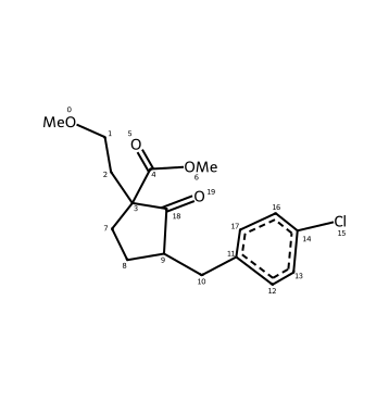 COCCC1(C(=O)OC)CCC(Cc2ccc(Cl)cc2)C1=O